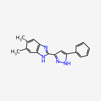 Cc1cc2nc(-c3cc(-c4ccccc4)[nH]n3)[nH]c2cc1C